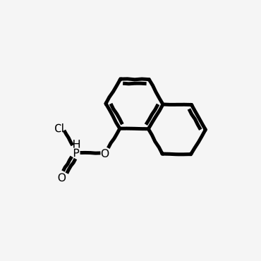 O=[PH](Cl)Oc1cccc2c1CCC=C2